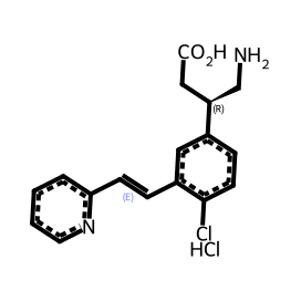 Cl.NC[C@H](CC(=O)O)c1ccc(Cl)c(/C=C/c2ccccn2)c1